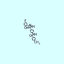 Cc1ccc(C(=O)Nc2ccc(-c3cc(-c4cc(F)ccc4O)n[nH]3)cc2)cc1